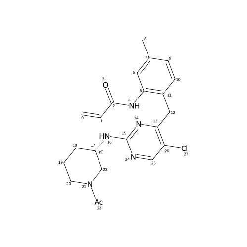 C=CC(=O)Nc1cc(C)ccc1Cc1nc(N[C@H]2CCCN(C(C)=O)C2)ncc1Cl